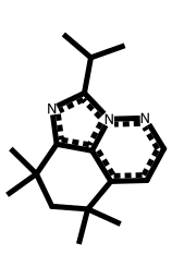 CC(C)c1nc2c3c(ccnn13)C(C)(C)CC2(C)C